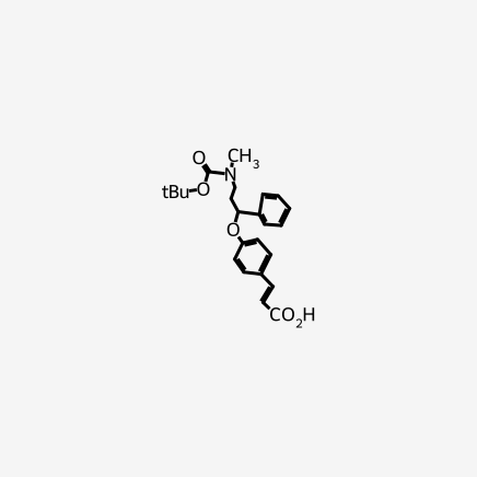 CN(CCC(Oc1ccc(C=CC(=O)O)cc1)c1ccccc1)C(=O)OC(C)(C)C